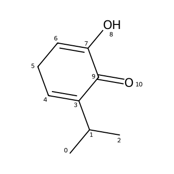 CC(C)C1=CCC=C(O)C1=O